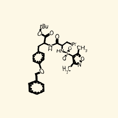 Cc1noc(C)c1S(=O)(=O)NC(CC(C)C)C(=O)NC(Cc1ccc(OCc2ccccc2)cc1)C(=O)OC(C)(C)C